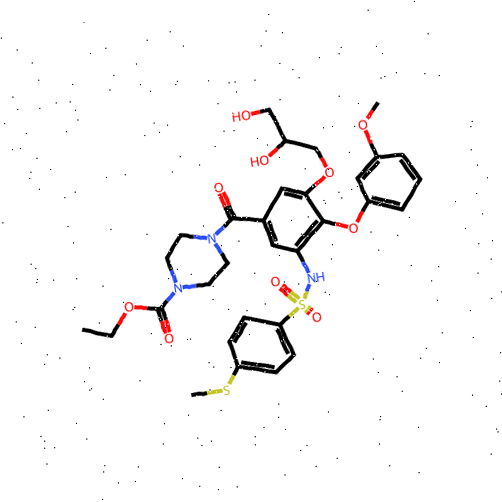 CCOC(=O)N1CCN(C(=O)c2cc(NS(=O)(=O)c3ccc(SC)cc3)c(Oc3cccc(OC)c3)c(OCC(O)CO)c2)CC1